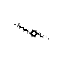 C=CCC=COc1ccc(OCC)cc1